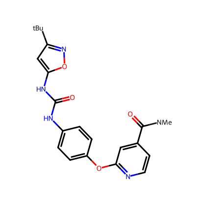 CNC(=O)c1ccnc(Oc2ccc(NC(=O)Nc3cc(C(C)(C)C)no3)cc2)c1